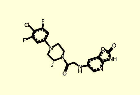 C[C@@H]1CN(c2cc(F)c(Cl)c(F)c2)CCN1C(=O)CNc1cnc2[nH]c(=O)oc2c1